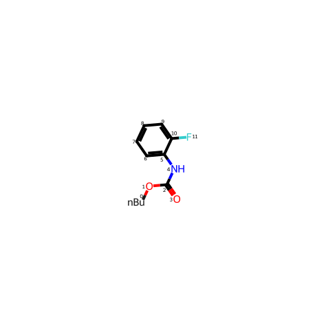 CCCCOC(=O)Nc1ccccc1F